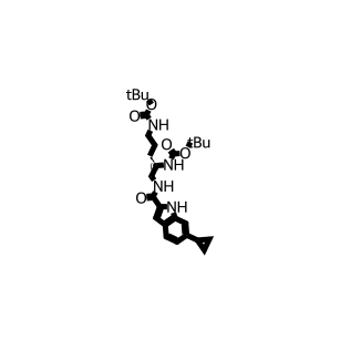 CC(C)(C)OC(=O)NCCC[C@@H](CNC(=O)c1cc2ccc(C3CC3)cc2[nH]1)NC(=O)OC(C)(C)C